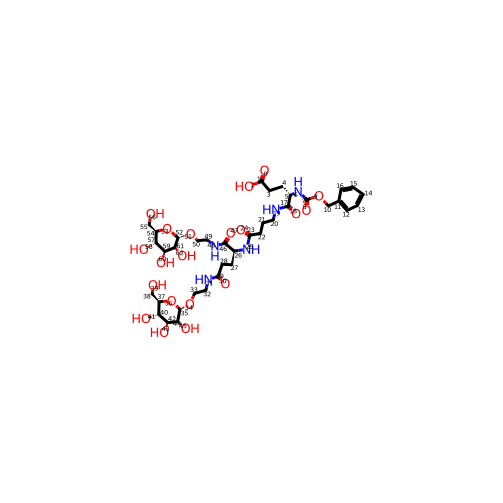 O=C(O)CC[C@H](NC(=O)OCc1ccccc1)C(=O)NCCCC(=O)N[C@@H](CCC(=O)NCCO[C@H]1O[C@H](CO)[C@@H](O)[C@H](O)[C@@H]1O)C(=O)NCCO[C@H]1O[C@H](CO)[C@@H](O)[C@H](O)[C@@H]1O